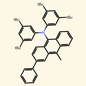 Cc1c2ccccc2c(N(c2cc(C(C)(C)C)cc(C(C)(C)C)c2)c2cc(C(C)(C)C)cc(C(C)(C)C)c2)c2ccc(-c3ccccc3)cc12